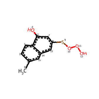 Cc1ccc2c(O)cc(SOOO)cc2c1